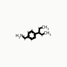 CCC(CC)c1ccc(CN)cc1